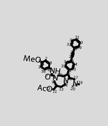 COc1ccc(NC(=O)N2CC(COC(C)=O)CCN3C(CN(C)C)C(c4ccc(C#Cc5ccccc5)cc4)C3C2)cc1